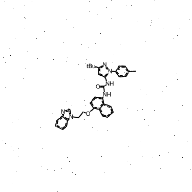 Cc1ccc(-n2nc(C(C)(C)C)cc2NC(=O)Nc2ccc(OCCn3cnc4ccccc43)c3ccccc23)cc1